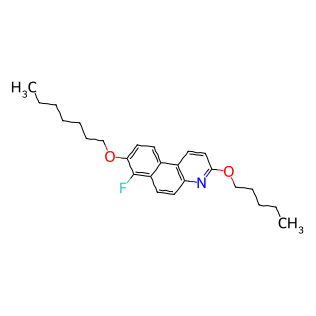 CCCCCCCOc1ccc2c(ccc3nc(OCCCCC)ccc32)c1F